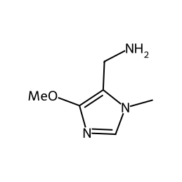 COc1ncn(C)c1CN